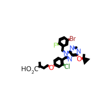 CC(CCOc1ccc(-c2nc3c(OC4(C)CC4)ncnc3n2Cc2cc(Br)ccc2F)c(Cl)c1)C(=O)O